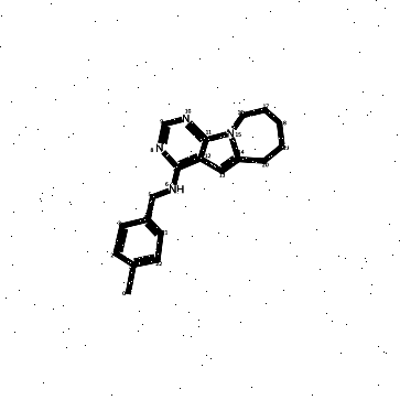 Cc1ccc(CNc2ncnc3c2cc2n3CCCCC2)cc1